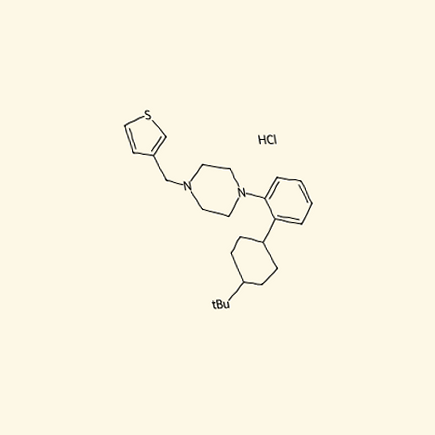 CC(C)(C)C1CCC(c2ccccc2N2CCN(Cc3ccsc3)CC2)CC1.Cl